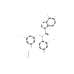 COc1cc(NC(C(=O)c2c[nH]c3c(C)c(Cl)ccc23)c2ccc(Cl)cc2OC)cc(OCCO)c1